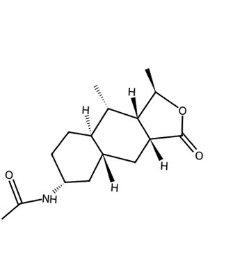 CC(=O)N[C@@H]1CC[C@@H]2[C@@H](C1)C[C@H]1C(=O)O[C@H](C)[C@H]1[C@H]2C